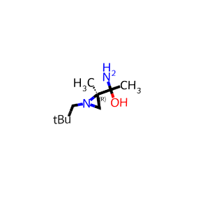 CC(C)(C)CN1C[C@]1(C)C(C)(N)O